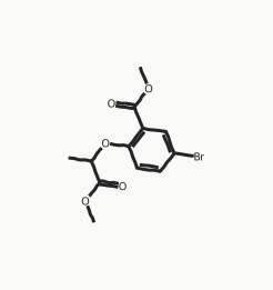 COC(=O)c1cc(Br)ccc1OC(C)C(=O)OC